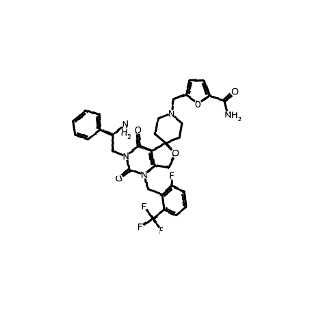 NC(=O)c1ccc(CN2CCC3(CC2)OCc2c3c(=O)n(CC(N)c3ccccc3)c(=O)n2Cc2c(F)cccc2C(F)(F)F)o1